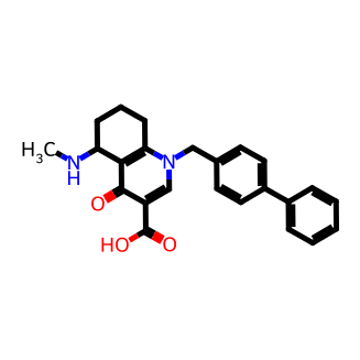 CNC1CCCc2c1c(=O)c(C(=O)O)cn2Cc1ccc(-c2ccccc2)cc1